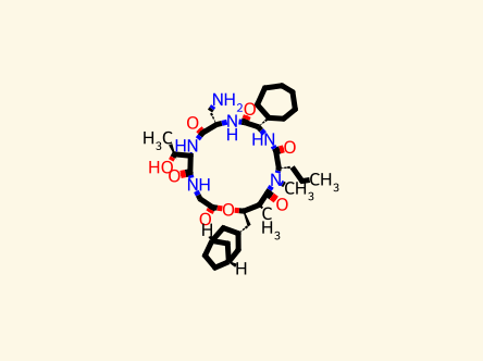 CCC[C@H]1C(=O)N[C@@H](C2CCCCCC2)C(=O)N[C@@H](CN)C(=O)N[C@@H]([C@H](C)O)C(=O)NCC(=O)O[C@H](C[C@@H]2C[C@@H]3CC[C@@H](C3)C2)[C@@H](C)C(=O)N1C